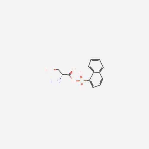 N[C@@H](CO)C(=O)OS(=O)(=O)c1cccc2ccccc12